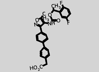 Cc1onc(-c2ccc(-c3ccc(CC(=O)O)cc3)cc2)c1NC(=O)OC(C)c1cc(F)ccc1F